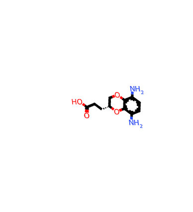 Nc1ccc(N)c2c1OC[C@@H](CCC(=O)O)O2